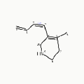 C=C/C=C\C1=C(C)CCNC1